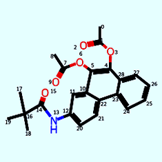 CC(=O)Oc1c(OC(C)=O)c2cc(NC(=O)C(C)(C)C)ccc2c2ccccc12